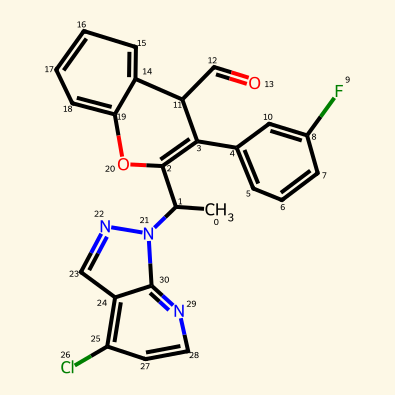 CC(C1=C(c2cccc(F)c2)C(C=O)c2ccccc2O1)n1ncc2c(Cl)ccnc21